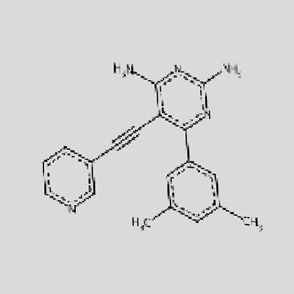 Cc1cc(C)cc(-c2nc(N)nc(N)c2C#Cc2cccnc2)c1